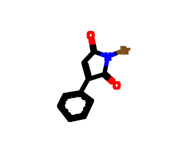 O=C1C=C(c2ccccc2)C(=O)N1Br